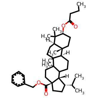 CCCC(=O)O[C@H]1CC[C@]2(C)[C@H]3CCC4[C@@H]5[C@H](C(C)C)CC[C@]5(C(=O)OCc5ccccc5)CC[C@@]4(C)[C@]3(C)CC[C@H]2C1(C)C